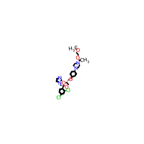 C=C(OCCOC)N1CCN(c2ccc(OC[C@@H]3CO[C@@](Cn4ccnc4)(c4ccc(Cl)cc4Cl)O3)cc2)CC1